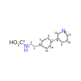 O=C(O)NCCc1ccc(-c2cccnc2)cc1